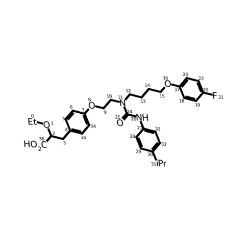 CCOC(Cc1ccc(OCCN(CCCCOc2ccc(F)cc2)C(=O)Nc2ccc(C(C)C)cc2)cc1)C(=O)O